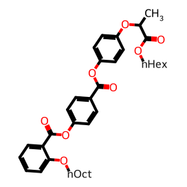 CCCCCCCCOc1ccccc1C(=O)Oc1ccc(C(=O)Oc2ccc(OC(C)C(=O)OCCCCCC)cc2)cc1